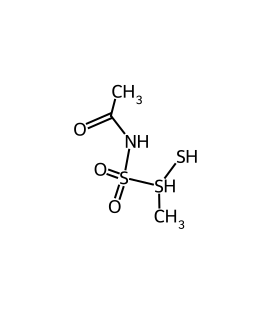 CC(=O)NS(=O)(=O)[SH](C)S